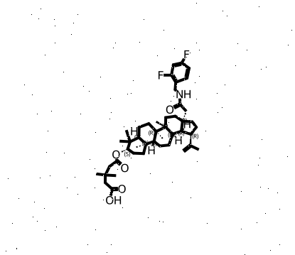 C=C(C)[C@@H]1CC[C@]2(CC(=O)NCc3ccc(F)cc3F)CC[C@]3(C)[C@H](CC[C@@H]4[C@@]5(C)CC[C@H](OC(=O)CC(C)(C)CC(=O)O)C(C)(C)[C@@H]5CC[C@]43C)[C@@H]12